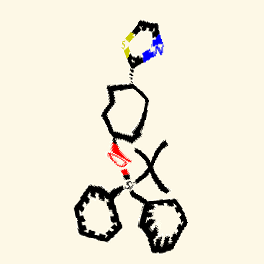 CC(C)(C)[Si](O[C@H]1CC[C@H](c2nccs2)CC1)(c1ccccc1)c1ccccc1